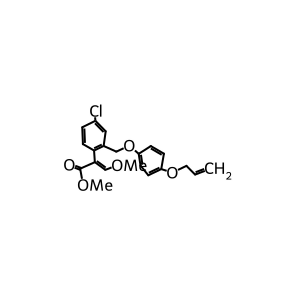 C=CCOc1ccc(OCc2cc(Cl)ccc2/C(=C\OC)C(=O)OC)cc1